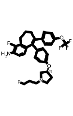 Nc1ccc2c(c1F)CCCC(c1ccc(OC(F)(F)F)cc1)=C2c1ccc(O[C@H]2CCN(CCCF)C2)cc1